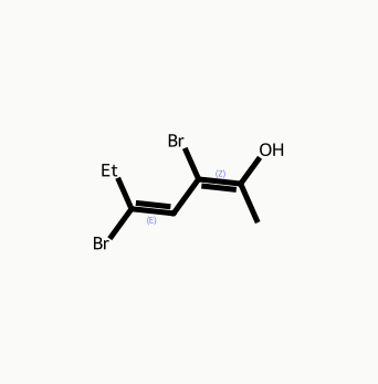 CC/C(Br)=C\C(Br)=C(/C)O